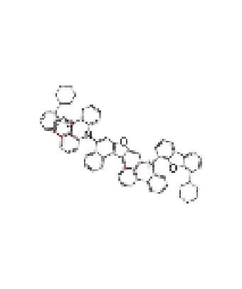 c1ccc(-c2ccccc2N(c2ccc3c(c2)oc2cc(N(c4ccccc4-c4ccccc4)c4cccc5c4oc4c(C6CCCCC6)cccc45)c4ccccc4c23)c2cccc3c2oc2c(C4CCCCC4)cccc23)cc1